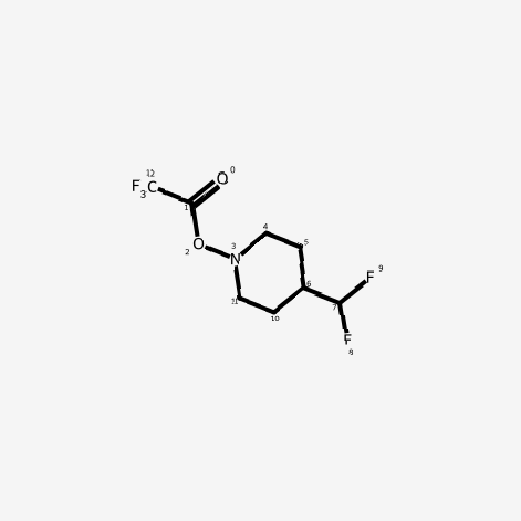 O=C(ON1CCC(C(F)F)CC1)C(F)(F)F